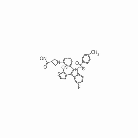 Cc1ccc(S(=O)(=O)n2c(-c3cccc(N4CC(C(=O)N=O)C4)c3)c(-c3ccsc3C#N)c3cc(F)ccc32)cc1